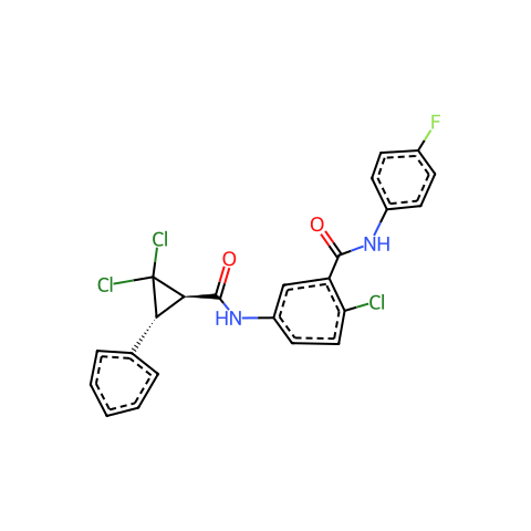 O=C(Nc1ccc(F)cc1)c1cc(NC(=O)[C@H]2[C@H](c3ccccc3)C2(Cl)Cl)ccc1Cl